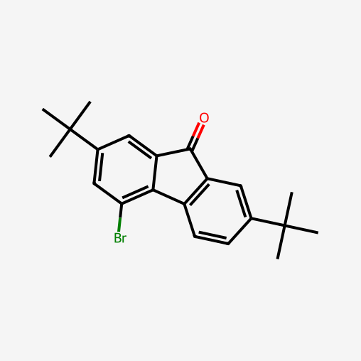 CC(C)(C)c1ccc2c(c1)C(=O)c1cc(C(C)(C)C)cc(Br)c1-2